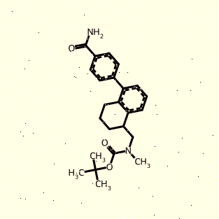 CN(CC1CCCc2c(-c3ccc(C(N)=O)cc3)cccc21)C(=O)OC(C)(C)C